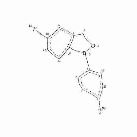 CCCc1ccc(B2OCc3cc(F)ccc32)cc1